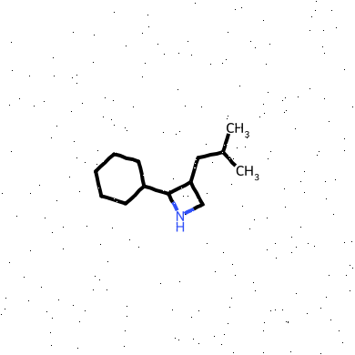 CC(C)CC1CNC1C1CCCCC1